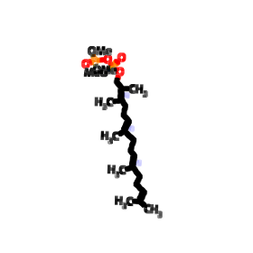 COP(=O)(OC)OP(=O)(OC)OC/C(C)=C(\C)CC/C=C(\C)CC/C=C(\C)CCC=C(C)C